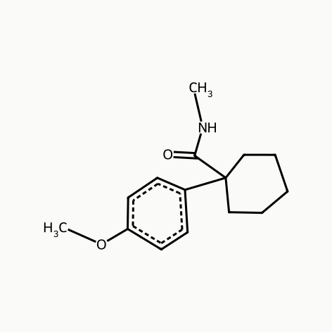 CNC(=O)C1(c2ccc(OC)cc2)CCCCC1